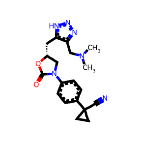 CN(C)Cc1nn[nH]c1C[C@@H]1CN(c2ccc(C3(C#N)CC3)cc2)C(=O)O1